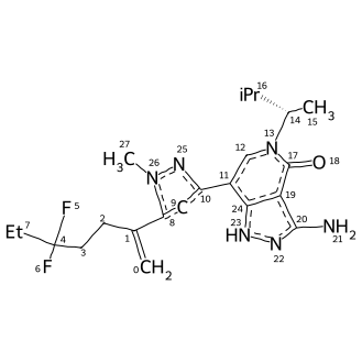 C=C(CCC(F)(F)CC)c1cc(-c2cn([C@@H](C)C(C)C)c(=O)c3c(N)n[nH]c23)nn1C